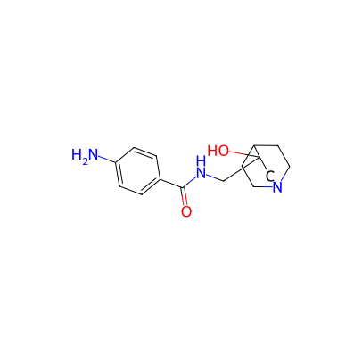 Nc1ccc(C(=O)NCC2(O)CN3CCC2CC3)cc1